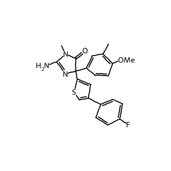 COc1ccc(C2(c3cc(-c4ccc(F)cc4)cs3)N=C(N)N(C)C2=O)cc1C